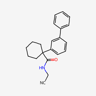 N#CCNC(=O)C1(c2cccc(-c3ccccc3)c2)CCCCC1